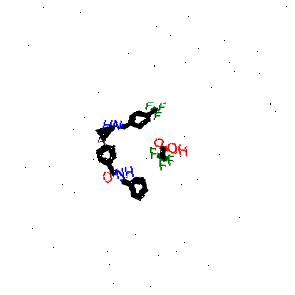 O=C(NCc1ccccc1)c1ccc([C@@H]2C[C@H]2NCc2ccc(C(F)(F)F)cc2)cc1.O=C(O)C(F)(F)F